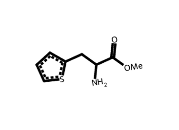 COC(=O)C(N)Cc1cccs1